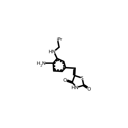 CC(C)CNc1cc(C=C2SC(=O)NC2=O)ccc1N